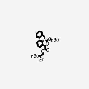 CCCCOC(=O)N(Cc1ccccc1)c1ccccc1CC(=O)OCC(CC)CCCC